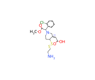 COC(=O)C(c1ccccc1Cl)N1CCC(SSCCN)/C(=C\C(=O)O)C1